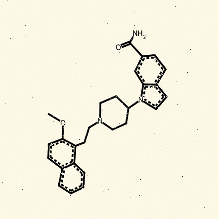 COc1ccc2ccccc2c1CCN1CCC(n2ccc3ccc(C(N)=O)cc32)CC1